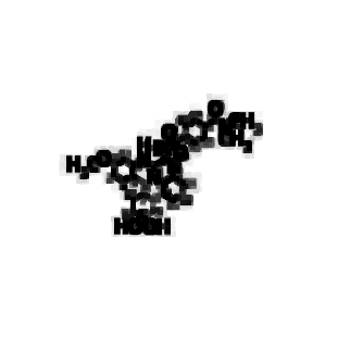 COc1ccc(CC2CCS(O)(O)CC2)c(Nc2nc3ccccc3nc2NS(=O)(=O)c2ccc(C(=O)N(C)C)cc2)c1